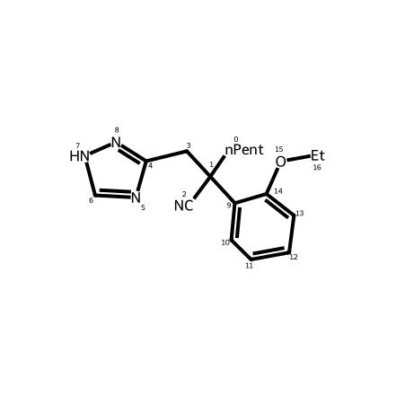 CCCCCC(C#N)(Cc1nc[nH]n1)c1ccccc1OCC